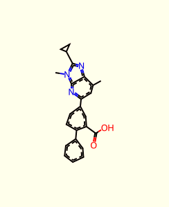 Cc1cc(-c2ccc(-c3ccccc3)c(C(=O)O)c2)nc2c1nc(C1CC1)n2C